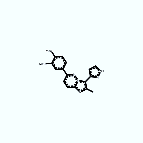 COc1ccc(-c2ccc3nc(C)c(-c4cc[nH]n4)n3n2)cc1OC